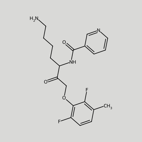 Cc1ccc(F)c(OCC(=O)C(CCCCN)NC(=O)c2cccnc2)c1F